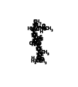 COC(=O)NCC(=O)N1CC(C)CC1c1nc(-c2ccc(-c3cc(Cl)c(NC(=O)N4CCC(N5CCN(C(=O)C(C)(C)C)CC5C)CC4)cc3OC(F)(F)F)cc2)c[nH]1